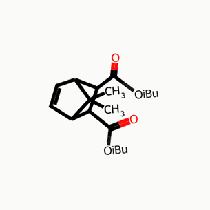 CC(C)COC(=O)C1C(C(=O)OCC(C)C)C2C=CC1C2(C)C